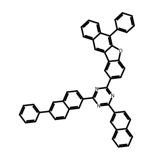 c1ccc(-c2ccc3cc(-c4nc(-c5ccc6ccccc6c5)nc(-c5ccc6oc7c(-c8ccccc8)c8ccccc8cc7c6c5)n4)ccc3c2)cc1